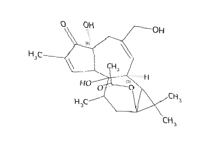 CC(=O)OC12CC(C)C3(O)C4C=C(C)C(=O)[C@@]4(O)CC(CO)=C[C@H]3C1C2(C)C